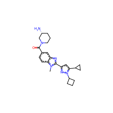 Cn1c(-c2cc(C3CC3)n(C3CCC3)n2)nc2cc(C(=O)N3CCC[C@@H](N)C3)ccc21